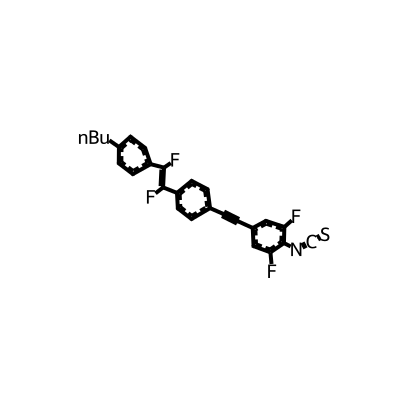 CCCCc1ccc(C(F)=C(F)c2ccc(C#Cc3cc(F)c(N=C=S)c(F)c3)cc2)cc1